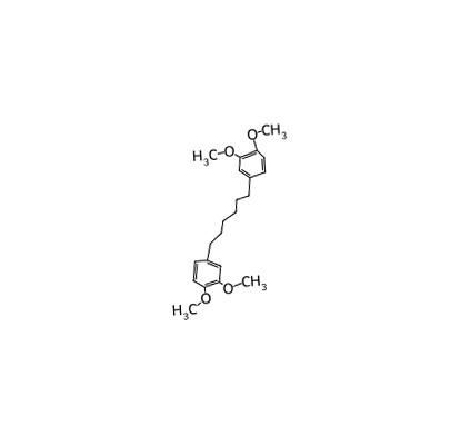 COc1ccc(CCCCCCc2ccc(OC)c(OC)c2)cc1OC